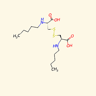 CCCCCN[C@@H](CSSC[C@H](NCCCCC)C(=O)O)C(=O)O